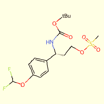 CC(C)(C)OC(=O)N[C@H](CCOS(C)(=O)=O)c1ccc(OC(F)F)cc1